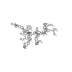 CC(C)CCC1CCN(C(=O)[C@H](CC(C)C(C)C[C@@H]2NCCN([C@@H](CC(C)C(C)C[C@@H]3NCCN([C@@H](CC(C)CCC(C)C[C@@H]4NCCN([C@@H](CC(C)C)C(=O)N5CCC(CCCN(C)C)CC5)C4=O)C(=O)N4CCC(Cc5ncc[nH]5)CC4)C3=O)C(=O)N3CCC(Cc4nccn4C)CC3)C2=O)N2CCN[C@@H](CC(C)C)C2=O)CC1